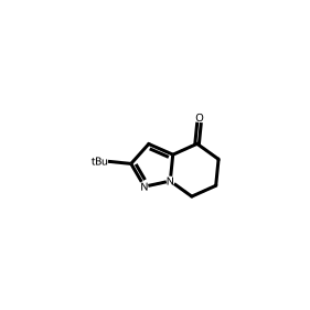 CC(C)(C)c1cc2n(n1)CCCC2=O